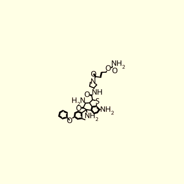 Cc1cc(Oc2ccccc2)ccc1C1(N)C(=O)C(N)C2c3c1ccc(N)c3SC2C(=O)NC1CCN(C(=O)C=CCOC(N)=O)C1